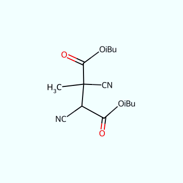 CC(C)COC(=O)C(C#N)C(C)(C#N)C(=O)OCC(C)C